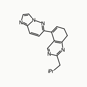 CC(C)Cc1ncc2c(n1)CCC=C2c1ccc2nccn2n1